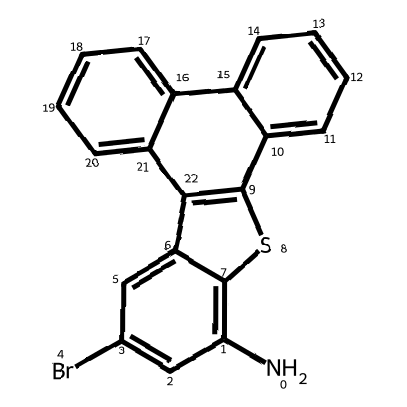 Nc1cc(Br)cc2c1sc1c3ccccc3c3ccccc3c21